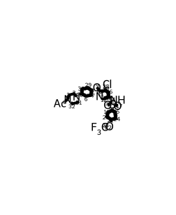 CC(=O)N1CCN(c2ccc(Oc3ncc(NS(=O)(=O)c4ccc(OC(F)(F)F)cc4)cc3Cl)cc2)CC1